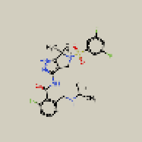 CC(C)NCc1cccc(F)c1C(=O)Nc1n[nH]c2c1CN(S(=O)(=O)c1cc(F)cc(F)c1)C2(C)C